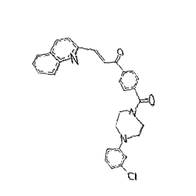 O=C(C=Cc1ccc2ccccc2n1)c1ccc(C(=O)N2CCN(c3cccc(Cl)c3)CC2)cc1